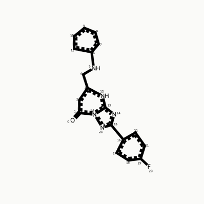 O=c1cc(CNc2ccccc2)[nH]c2nc(-c3ccc(F)cc3)nn12